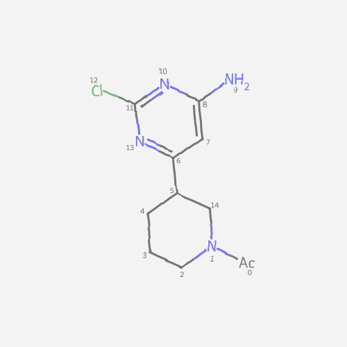 CC(=O)N1CCCC(c2cc(N)nc(Cl)n2)C1